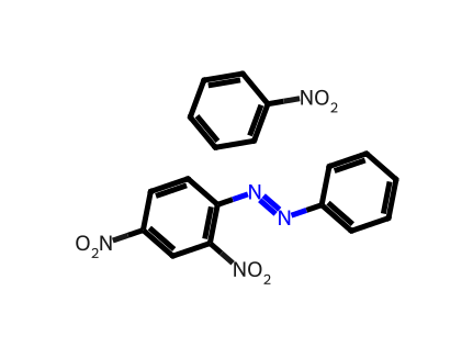 O=[N+]([O-])c1ccc(N=Nc2ccccc2)c([N+](=O)[O-])c1.O=[N+]([O-])c1ccccc1